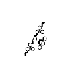 C=CCOC(=O)OCCOCCOC(=O)OCC=C.O=C1C=CC(=O)O1